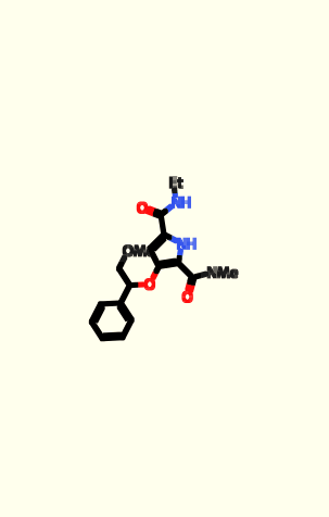 CCNC(=O)c1cc(OC(COC)c2ccccc2)c(C(=O)NC)[nH]1